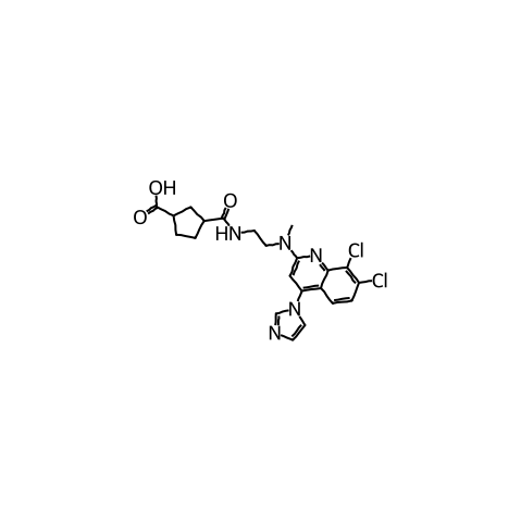 CN(CCNC(=O)C1CCC(C(=O)O)C1)c1cc(-n2ccnc2)c2ccc(Cl)c(Cl)c2n1